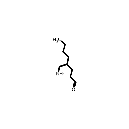 CCCCC(C[NH])CCC=O